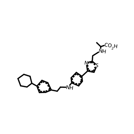 CC(NCc1nc(-c2ccc(NCCc3ccc(C4CCCCC4)cc3)cc2)cs1)C(=O)O